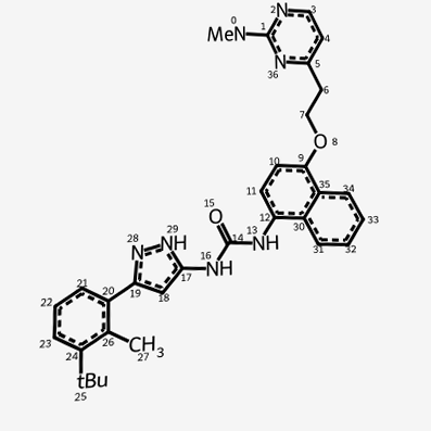 CNc1nccc(CCOc2ccc(NC(=O)Nc3cc(-c4cccc(C(C)(C)C)c4C)n[nH]3)c3ccccc23)n1